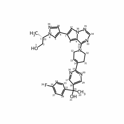 C[C@@H](CO)n1cc(-c2cc3c(N4CC=C(c5ncc(C(C)(O)c6ccc(F)cc6)cn5)CC4)ncnn3c2)cn1